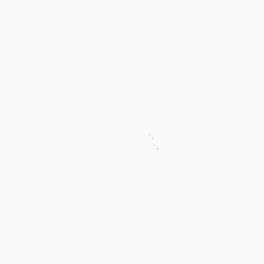 COC(=O)c1ccc2c(c1)c(C)nn2C1CS(=O)(=O)C1